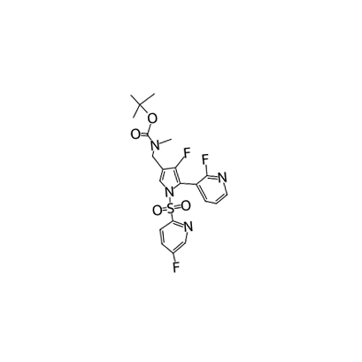 CN(Cc1cn(S(=O)(=O)c2ccc(F)cn2)c(-c2cccnc2F)c1F)C(=O)OC(C)(C)C